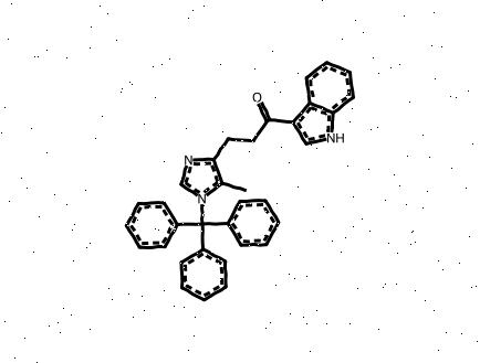 Cc1c(CCC(=O)c2c[nH]c3ccccc23)ncn1C(c1ccccc1)(c1ccccc1)c1ccccc1